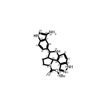 CC(C)(C)OC(=O)N1CCC2C(c3ccc4[nH]nc(N)c4c3)Nc3ccc4[nH]ncc4c3C21